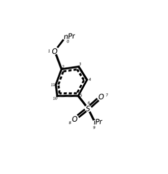 CCCOc1ccc(S(=O)(=O)C(C)C)cc1